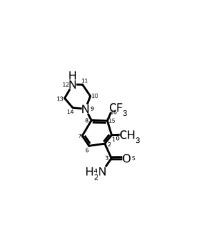 Cc1c(C(N)=O)ccc(N2CCNCC2)c1C(F)(F)F